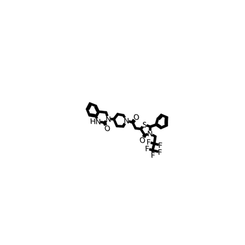 O=C(CC1SC(c2ccccc2)N(CC(F)(F)C(F)(F)F)C1=O)N1CCC(N2Cc3ccccc3NC2=O)CC1